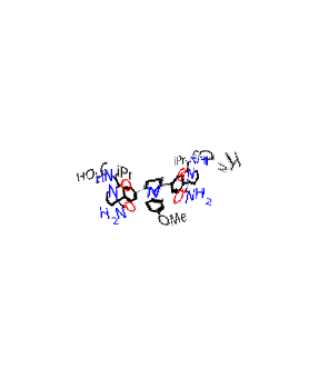 COc1ccc(N2[C@H](c3ccc([C@]4(C(N)=O)CCCN4C(=O)[C@@H](NC(=O)O)C(C)C)cc3)CC[C@H]2c2ccc([C@]3(C(N)=O)CCCN3C(=O)[C@@H](NC(=O)O)C(C)C)cc2)cc1